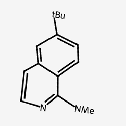 CNc1nccc2cc(C(C)(C)C)ccc12